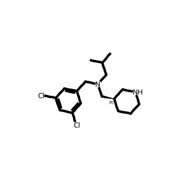 CC(C)CN(Cc1cc(Cl)cc(Cl)c1)C[C@@H]1CCCNC1